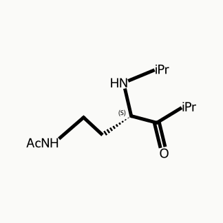 CC(=O)NCC[C@H](NC(C)C)C(=O)C(C)C